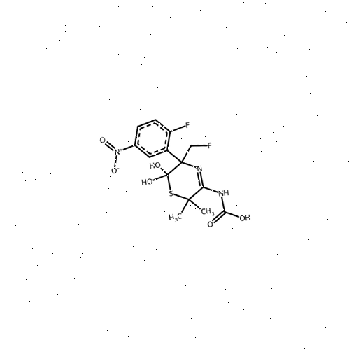 CC1(C)SC(O)(O)C(CF)(c2cc([N+](=O)[O-])ccc2F)N=C1NC(=O)O